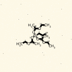 CCOC(C)O[Si](CCI)(OC(C)OCC)OC(C)OCC